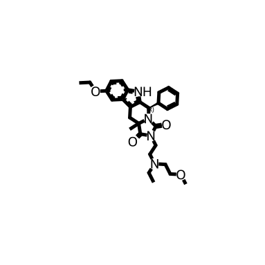 CCOc1ccc2[nH]c3c(c2c1)CC1(C)C(=O)N(CCN(CC)CCOC)C(=O)N1[C@@H]3C1C=CC=CC1